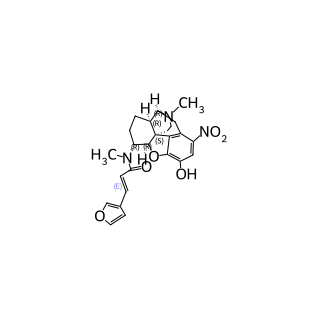 CN1CC[C@]23c4c5c([N+](=O)[O-])cc(O)c4O[C@H]2[C@H](N(C)C(=O)/C=C/c2ccoc2)CC[C@H]3[C@H]1C5